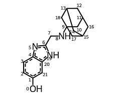 Oc1ccc2nc(CNC34CC5CC(CC(C5)C3)C4)[nH]c2c1